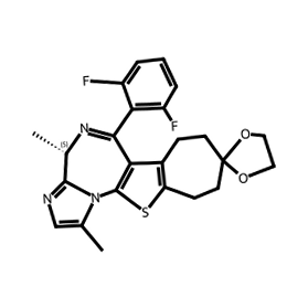 Cc1cnc2n1-c1sc3c(c1C(c1c(F)cccc1F)=N[C@H]2C)CCC1(CC3)OCCO1